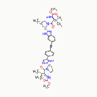 COC(=O)N[C@H](C(=O)N1CCC[C@H]1c1ncc(-c2ccc(C#Cc3ccc4nc([C@@H]5C[C@H](C)CN5C(=O)[C@@H](NC(=O)OC)C(C)C)[nH]c4c3)cc2)[nH]1)C(C)C